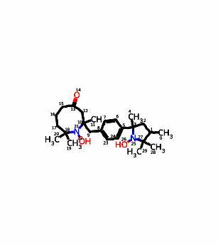 CC1CC(C)(c2ccc(CC3(C)CC(=O)CCCC(C)(C)N3O)cc2)N(O)C1(C)C